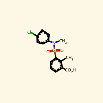 Cc1c(C(=O)O)cccc1S(=O)(=O)N(C)c1ccc(Cl)cc1